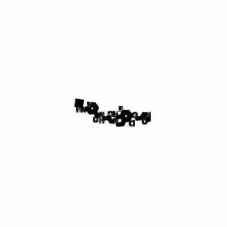 O=C(NCC(O)CN1CCc2c(Cl)c(OCc3cnco3)cc(F)c2C1)c1ccnc(NC2CCC2)c1